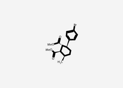 COC(=O)[C@H]1[C@H](C(=O)OC)[C@@H](c2ccc(Br)cc2)CC[C@H]1C